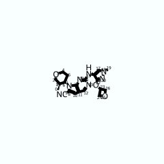 C[C@H]1COCC[C@@H]1n1c(C#N)cc2cnc(Nc3cn(C)nc3OC3COC3)nc21